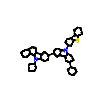 c1ccc(-c2ccc3c(c2)c2cc(-c4ccc5c(c4)c4ccc6ccccc6c4n5-c4ccccc4)ccc2n3-c2ccc3c(c2)sc2ccccc23)cc1